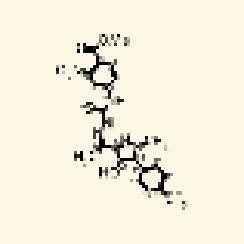 COC(=O)c1ccc(NC(=S)N/N=C(/C)c2nn(C)c(-c3ccc(C(F)(F)F)cc3)c2O)cc1[N+](=O)[O-]